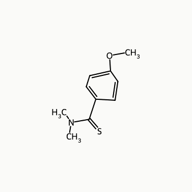 COc1ccc(C(=S)N(C)C)cc1